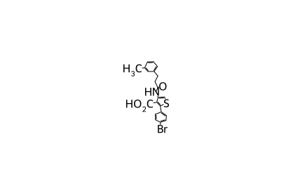 Cc1cccc(CCC(=O)Nc2csc(-c3ccc(Br)cc3)c2C(=O)O)c1